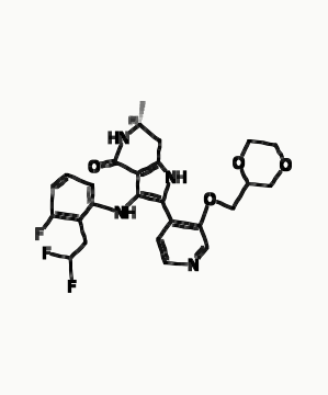 C[C@@H]1Cc2[nH]c(-c3ccncc3OCC3COCCO3)c(Nc3cccc(F)c3CC(F)F)c2C(=O)N1